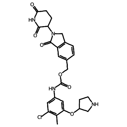 Cc1c(Cl)cc(NC(=O)OCc2ccc3c(c2)C(=O)N(C2CCC(=O)NC2=O)C3)cc1OC1CCNC1